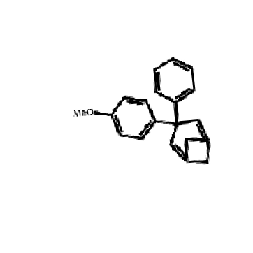 COc1ccc(C2(c3ccccc3)C=C3CC(=C2)C3)cc1